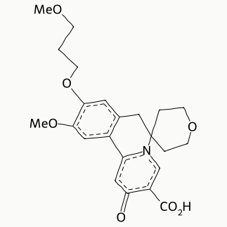 COCCCOc1cc2c(cc1OC)-c1cc(=O)c(C(=O)O)cn1C1(CCOCC1)C2